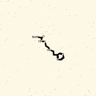 CNC(=O)NSCCNCCc1cnccn1